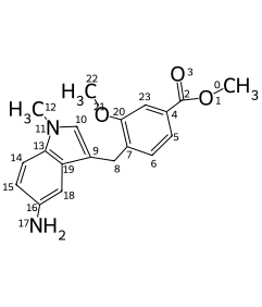 COC(=O)c1ccc(Cc2cn(C)c3ccc(N)cc23)c(OC)c1